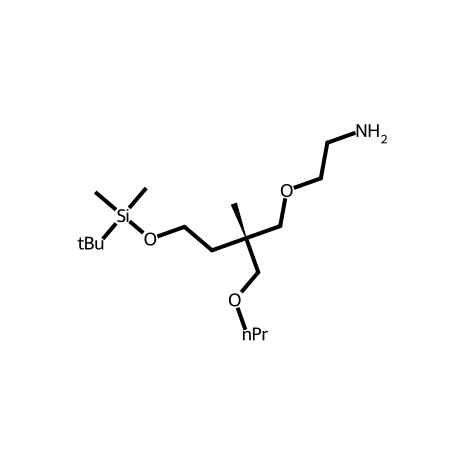 CCCOC[C@](C)(CCO[Si](C)(C)C(C)(C)C)COCCN